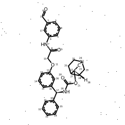 O=Cc1cccc(NC(=O)COc2cccc([C@@H](NC(=O)O[C@H]3CN4CCC3CC4)c3ccccc3)c2)c1